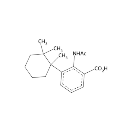 CC(=O)Nc1c(C(=O)O)cccc1C1(C)CCCCC1(C)C